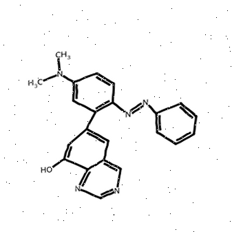 CN(C)c1ccc(/N=N/c2ccccc2)c(-c2cc(O)c3ncncc3c2)c1